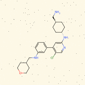 NC[C@H]1CC[C@H](Nc2cc(-c3cccc(NCC4CCOCC4)c3)c(Cl)cn2)CC1